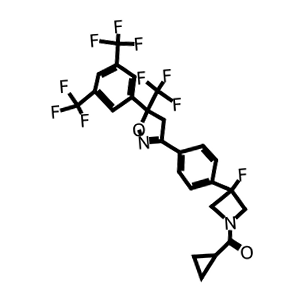 O=C(C1CC1)N1CC(F)(c2ccc(C3=NOC(c4cc(C(F)(F)F)cc(C(F)(F)F)c4)(C(F)(F)F)C3)cc2)C1